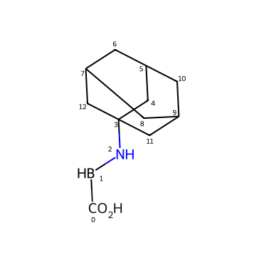 O=C(O)BNC12CC3CC(CC(C3)C1)C2